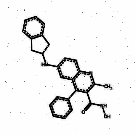 Cc1nc2ccc(NC3Cc4ccccc4C3)cc2c(-c2ccccc2)c1C(=O)NO